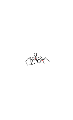 CCCCN1CC2CCC(C1)N2C(=O)OC(C)(C)C